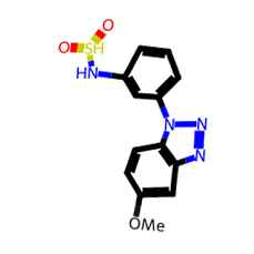 COc1ccc2c(c1)nnn2-c1cccc(N[SH](=O)=O)c1